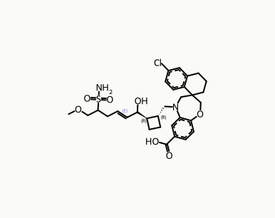 COCC(C/C=C/C(O)[C@@H]1CC[C@H]1CN1CC2(CCCc3cc(Cl)ccc32)COc2ccc(C(=O)O)cc21)S(N)(=O)=O